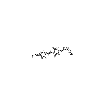 CCCc1ccc(C#Cc2c(F)cc(C#CN=C=S)cc2F)cc1